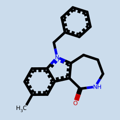 Cc1ccc2c(c1)c1c(n2Cc2ccccc2)CCCNC1=O